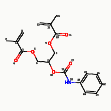 C=C(C)C(=O)OCC(COC(=O)C(=C)C)OC(=O)Nc1ccccc1